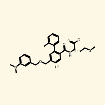 CSCC[C@H](NC(=O)c1ccc(COCc2cccc(N(C)C)c2)cc1-c1ccccc1C)C(=O)[O-].[Li+]